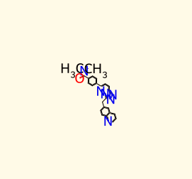 CN(C)C(=O)c1ccc(-c2ccc3nnc(Cc4ccc5ncccc5c4)n3n2)cc1